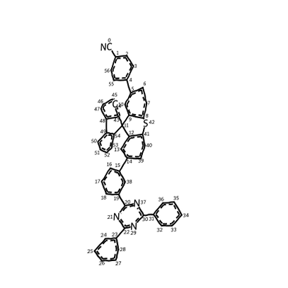 N#Cc1ccc(-c2ccc3c(c2)C2(c4cc(-c5cccc(-c6nc(-c7ccccc7)nc(-c7ccccc7)n6)c5)ccc4S3)c3ccccc3-c3ccccc32)cc1